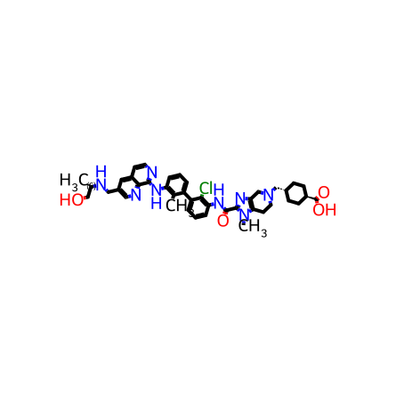 Cc1c(Nc2nccc3cc(CN[C@@H](C)CO)cnc23)cccc1-c1cccc(NC(=O)c2nc3c(n2C)CCN(C[C@H]2CC[C@H](C(=O)O)CC2)C3)c1Cl